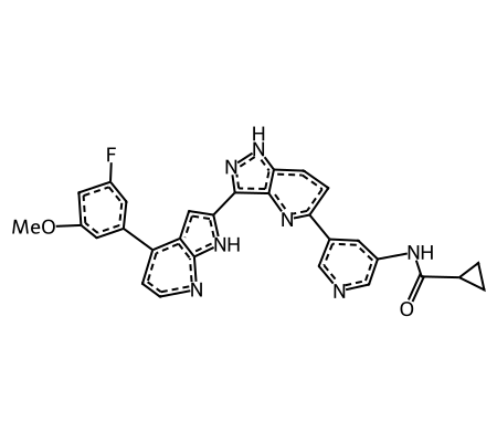 COc1cc(F)cc(-c2ccnc3[nH]c(-c4n[nH]c5ccc(-c6cncc(NC(=O)C7CC7)c6)nc45)cc23)c1